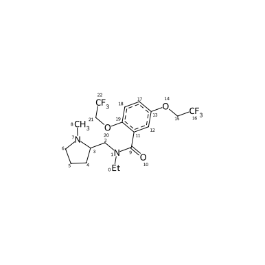 CCN(CC1CCCN1C)C(=O)c1cc(OCC(F)(F)F)ccc1OCC(F)(F)F